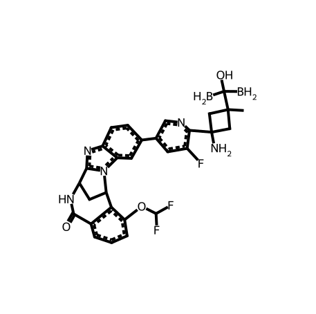 BC(B)(O)C1(C)CC(N)(c2ncc(-c3ccc4nc5n(c4c3)C3CC5NC(=O)c4cccc(OC(F)F)c43)cc2F)C1